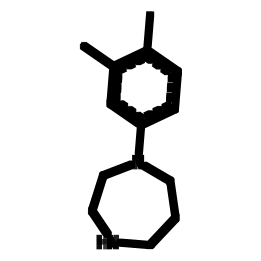 Cc1ccc(N2CCCNCC2)cc1C